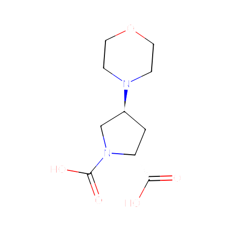 O=C(O)[C@H]1C[C@H](N2CCOCC2)CN1C(=O)O